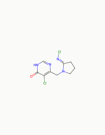 O=c1[nH]cnc(CN2CCC/C2=N\Cl)c1Cl